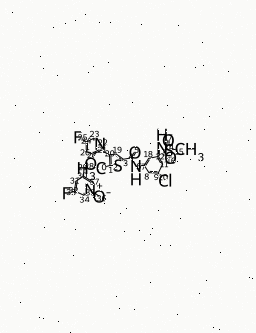 Cc1sc(C(=O)Nc2cc(Cl)cc(NS(C)(=O)=O)c2)cc1-c1ncc(F)cc1OCc1cc(F)c[n+]([O-])c1